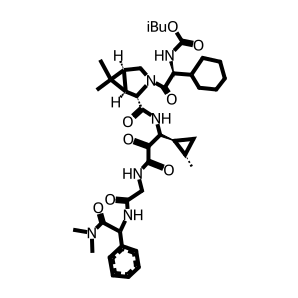 CC(C)COC(=O)N[C@H](C(=O)N1C[C@H]2[C@@H]([C@H]1C(=O)NC(C(=O)C(=O)NCC(=O)NC(C(=O)N(C)C)c1ccccc1)[C@H]1C[C@@H]1C)C2(C)C)C1CCCCC1